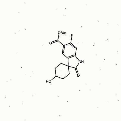 COC(=O)c1cc2c(cc1F)NC(=O)C21CCC(O)CC1